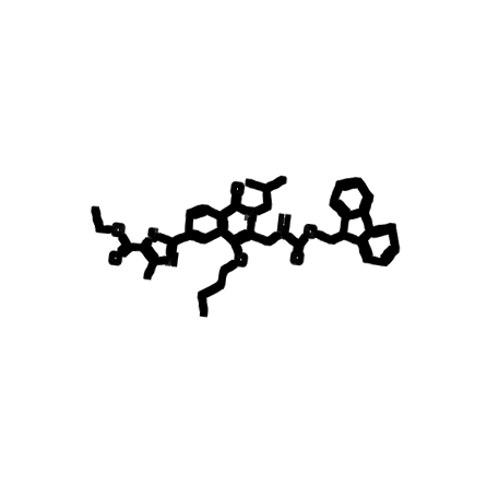 CCCCOc1c(CNC(=O)OCC2c3ccccc3-c3ccccc32)n(CC(C)C)c(=O)c2ccc(-c3nc(C)c(C(=O)OCC)s3)cc12